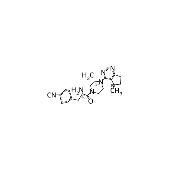 [C-]#[N+]c1ccc(C[C@@H](N)C(=O)N2CCN(c3ncnc4c3[C@H](C)CC4)[C@@H](C)C2)cc1